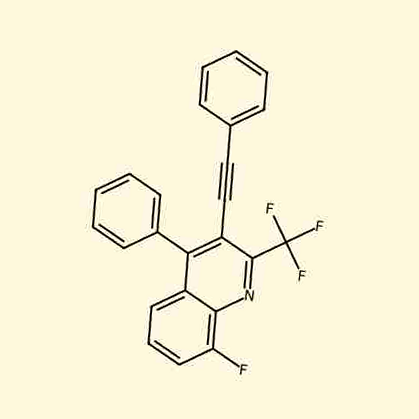 Fc1cccc2c(-c3ccccc3)c(C#Cc3ccccc3)c(C(F)(F)F)nc12